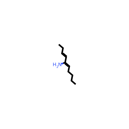 CCC=CC(N)=CCCCC